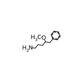 COC(CCCN)Cc1ccccc1